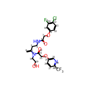 C=C(CCNC(=O)COc1ccc(Cl)c(F)c1)N(CCO)C(=O)COc1ccc(C(F)(F)F)nc1